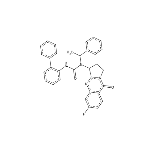 CC(c1ccccc1)N(C(=O)Nc1ccccc1-c1ccccc1)C1CCn2c1nc1cc(F)ccc1c2=O